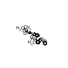 Cc1ccc2c(cnn2C2CCCCO2)c1Nc1cncc2c1C(=O)N(C1CN(C(=O)OC(C)(C)C)C1)C2